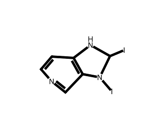 IC1Nc2ccncc2N1I